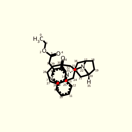 CCOC(=O)Cc1nc2ccccc2n([C@@H]2CC3CC[C@H](C2)N3C2CC3CCCCC(C3)C2)c1=O